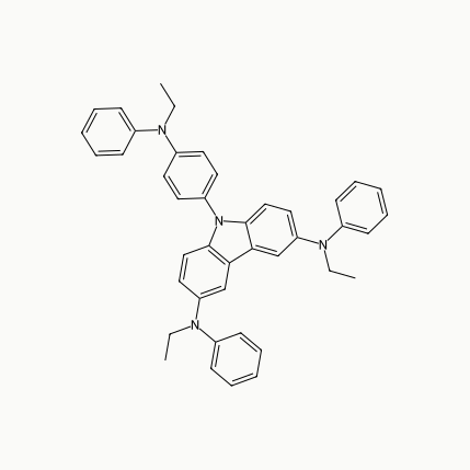 CCN(c1ccccc1)c1ccc(-n2c3ccc(N(CC)c4ccccc4)cc3c3cc(N(CC)c4ccccc4)ccc32)cc1